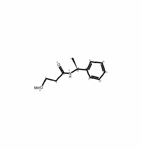 COCCC(=O)N[C@@H](C)c1cc[c]cc1